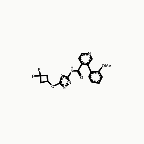 COc1ccccc1-c1cnccc1C(=O)Nc1nnc(OC2CC(F)(F)C2)s1